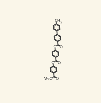 COC(=O)c1ccc(OC(=O)c2ccc(OC(=O)c3ccc(-c4ccc(C)cc4)cc3)cc2)cc1